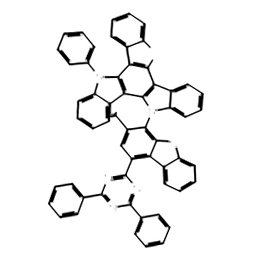 N#Cc1cc(-c2nc(-c3ccccc3)nc(-c3ccccc3)n2)c2c(oc3ccccc32)c1-n1c2ccccc2c2c3oc4ccccc4c3c3c(c4ccccc4n3-c3ccccc3)c21